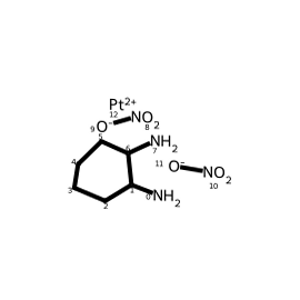 NC1CCCCC1N.O=[N+]([O-])[O-].O=[N+]([O-])[O-].[Pt+2]